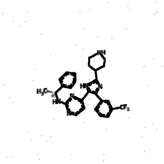 C[C@@H](Nc1nccc(-c2[nH]c(C3CCNCC3)nc2-c2cccc(C(F)(F)F)c2)n1)c1ccccc1